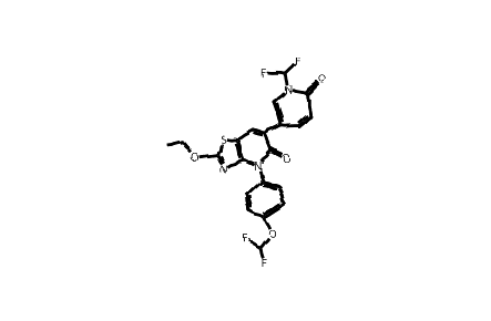 CCOc1nc2c(cc(-c3ccc(=O)n(C(F)F)c3)c(=O)n2-c2ccc(OC(F)F)cc2)s1